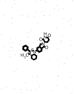 CN(Cc1ccccc1)[C@@H]1CCCC[C@H]1N(C)c1ccc2c(c1)CN(C1CCC(=O)NC1=O)C2=O